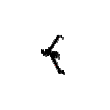 CCCCCCCCCCCCCCCCCC(SSSSC(CCCCCCCCCCCCCCCCC)[Si](OC)(OC)OC)[Si](OC)(OC)OC